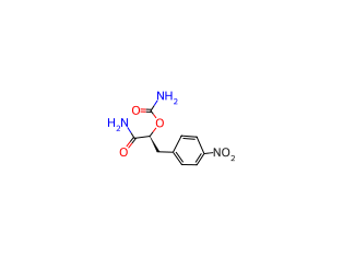 NC(=O)O[C@@H](Cc1ccc([N+](=O)[O-])cc1)C(N)=O